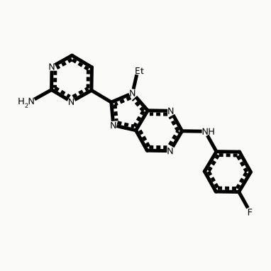 CCn1c(-c2ccnc(N)n2)nc2cnc(Nc3ccc(F)cc3)nc21